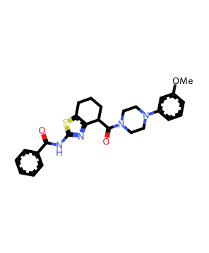 COc1cccc(N2CCN(C(=O)C3CCCc4sc(NC(=O)c5ccccc5)nc43)CC2)c1